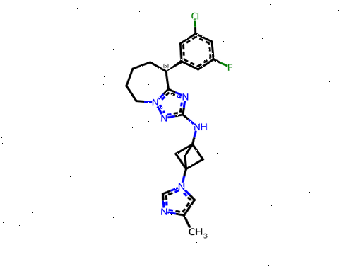 Cc1cn(C23CC(Nc4nc5n(n4)CCCC[C@H]5c4cc(F)cc(Cl)c4)(C2)C3)cn1